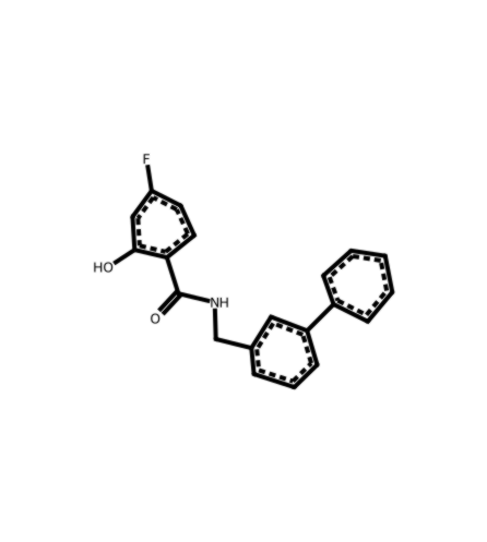 O=C(NCc1cccc(-c2ccccc2)c1)c1ccc(F)cc1O